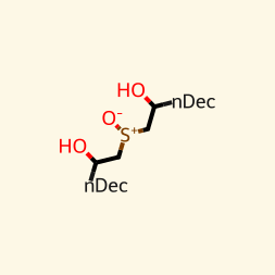 CCCCCCCCCCC(O)C[S+]([O-])CC(O)CCCCCCCCCC